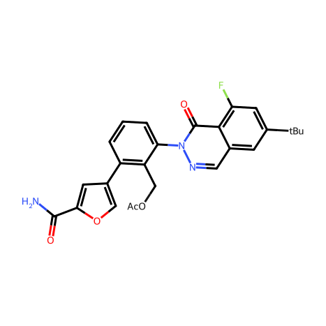 CC(=O)OCc1c(-c2coc(C(N)=O)c2)cccc1-n1ncc2cc(C(C)(C)C)cc(F)c2c1=O